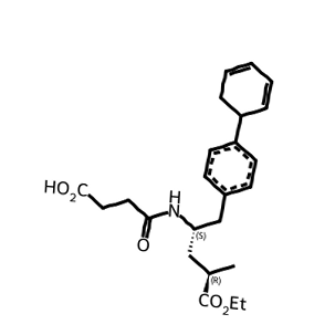 CCOC(=O)[C@H](C)C[C@@H](Cc1ccc(C2C=CC=CC2)cc1)NC(=O)CCC(=O)O